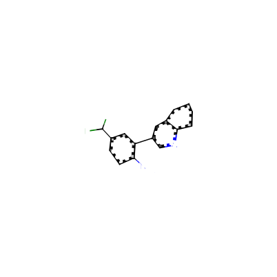 Nc1ccc(C(F)F)cc1-c1cnc2ccccc2c1